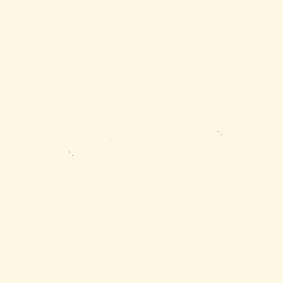 CN1/C(=C\C=C2/CCCC(/C=C/C3(C4CO4)N(C)c4c(ccc5c4CCC5)C3(C)C)=C2C2CO2)C(C)(C)c2ccc3c(c21)CCC3